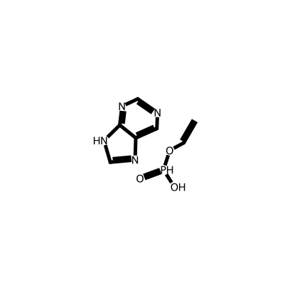 C=CO[PH](=O)O.c1ncc2nc[nH]c2n1